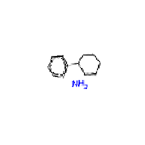 N.c1ccc(C2CCCCC2)cc1